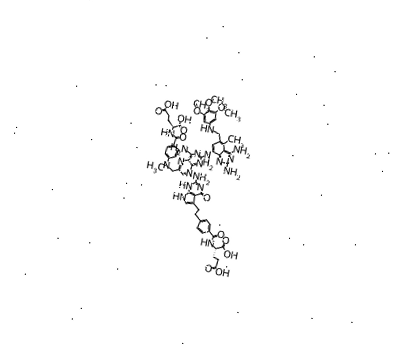 CN(Cc1cnc2nc(N)nc(N)c2n1)c1ccc(C(=O)N[C@@H](CCC(=O)O)C(=O)O)cc1.COc1cc(NCc2ccc3nc(N)nc(N)c3c2C)cc(OC)c1OC.Nc1nc(=O)c2c(CCc3ccc(C(=O)N[C@@H](CCC(=O)O)C(=O)O)cc3)c[nH]c2[nH]1